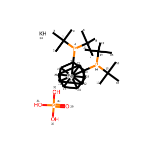 CC(C)(C)P(C(C)(C)C)[C]12[CH]3[CH]4[CH]5[C]1(P(C(C)(C)C)C(C)(C)C)[Fe]43521678[CH]2[CH]1[CH]6[CH]7[CH]28.O=P(O)(O)O.[KH]